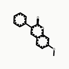 COc1ccc2cc(-c3ccccc3)c(=O)sc2c1